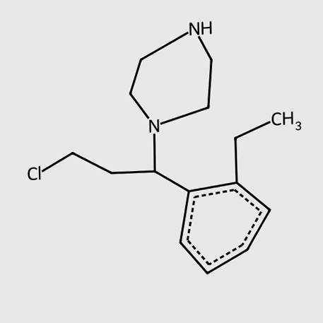 CCc1ccccc1C(CCCl)N1CCNCC1